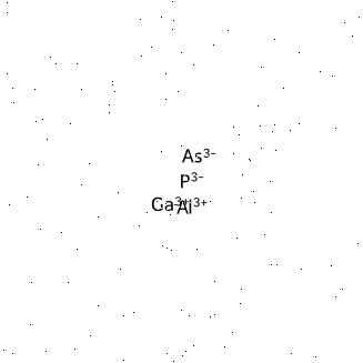 [Al+3].[As-3].[Ga+3].[P-3]